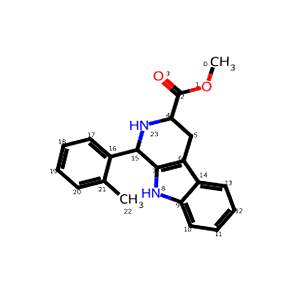 COC(=O)C1Cc2c([nH]c3ccccc23)C(c2ccccc2C)N1